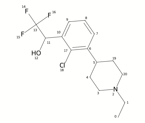 CCN1CCC(c2cccc(C(O)C(F)(F)F)c2Cl)CC1